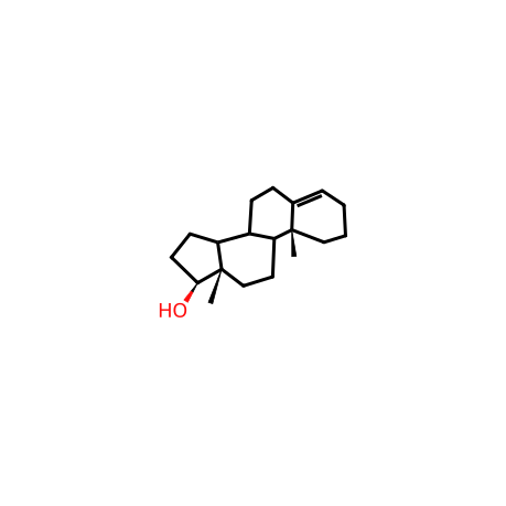 C[C@]12CCCC=C1CCC1C2CC[C@@]2(C)C1CC[C@@H]2O